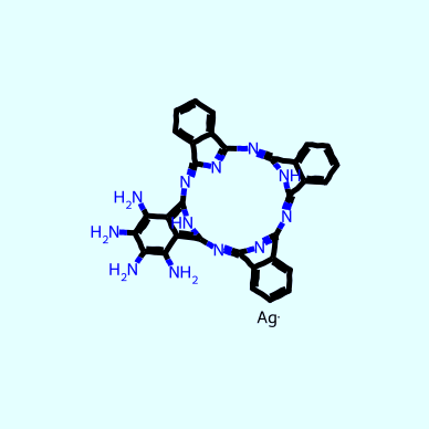 Nc1c(N)c(N)c2c3nc4nc(nc5[nH]c(nc6nc(nc([nH]3)c2c1N)-c1ccccc1-6)c1ccccc51)-c1ccccc1-4.[Ag]